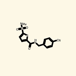 CNS(=O)(=O)c1ccc(C(=O)NCc2ccc(C#N)cc2)s1